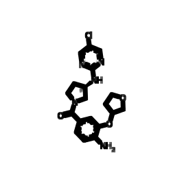 Nc1ccc(C(=O)N2CC[C@@H](Nc3ncc(Cl)cn3)C2)cc1OC1CCOC1